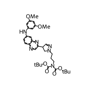 COc1cc(Nc2ccc3ncc(C4C=NN(CCCN(C(=O)OC(C)(C)C)C(=O)OC(C)(C)C)C4)nc3c2)cc(OC)c1